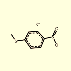 CSc1ccc(S(=O)[O-])cc1.[K+]